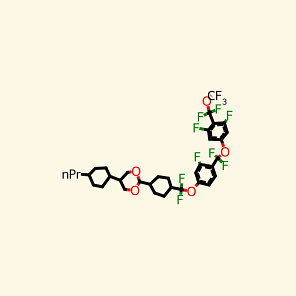 CCCC1CCC(C2COC(C3CCC(C(F)(F)Oc4ccc(C(F)(F)Oc5cc(F)c(C(F)(F)OC(F)(F)F)c(F)c5)c(F)c4)CC3)OC2)CC1